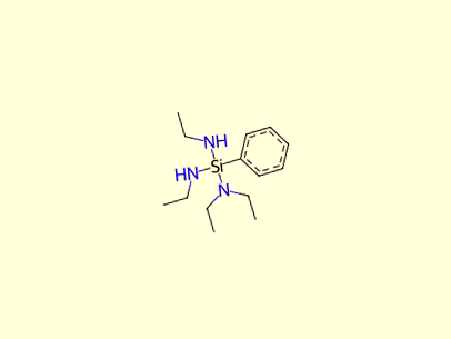 CCN[Si](NCC)(c1ccccc1)N(CC)CC